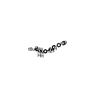 CC(C)(C)c1cc(NC(=O)Nc2ccc(-c3cn4c(n3)sc3nc([C@H]5CC[C@H](N6CCOCC6)CC5)ccc34)cc2)no1